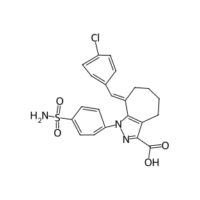 NS(=O)(=O)c1ccc(-n2nc(C(=O)O)c3c2C(=Cc2ccc(Cl)cc2)CCCC3)cc1